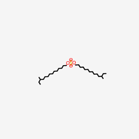 CCC(C)CCCCCCCCCCCOS(=O)(=O)OCCCCCCCCCCCC(C)CC